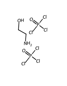 NCCO.O=P(Cl)(Cl)Cl.O=P(Cl)(Cl)Cl